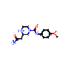 COc1ccc(NC(=O)N2CCNC(CC(N)=O)C2)cc1